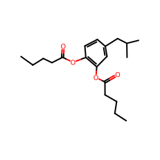 CCCCC(=O)Oc1ccc(CC(C)C)cc1OC(=O)CCCC